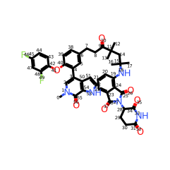 Cn1cc(-c2cc(CCC(=O)C(C)(C)CC(C)(C)Nc3cccc4c3C(=O)N(C3CCC(=O)NC3=O)C4=O)ccc2Oc2ccc(F)cc2F)c2cc[nH]c2c1=O